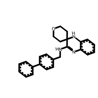 c1ccc(-c2ccc(CNC3=Nc4ccccc4NC34CCOCC4)cc2)cc1